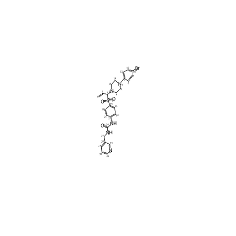 C=CC(N1CCN(c2ccc(Br)cc2)CC1)S(=O)(=O)c1ccc(NC(=O)NCc2cccnc2)cc1